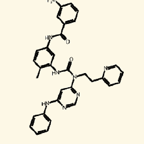 Cc1ccc(NC(=O)c2cccc(C(F)(F)F)c2)cc1NC(=O)N(CCc1ccccn1)c1cc(Nc2ccccc2)ncn1